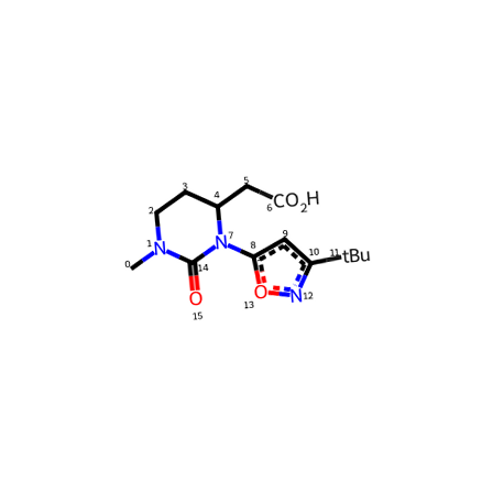 CN1CCC(CC(=O)O)N(c2cc(C(C)(C)C)no2)C1=O